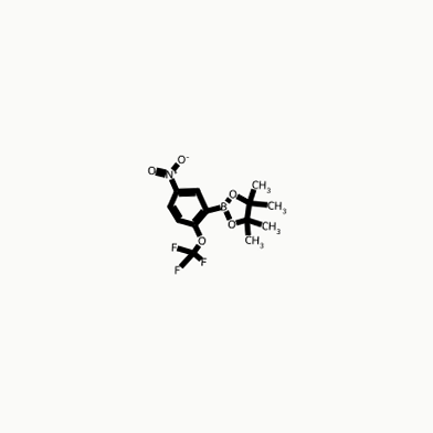 CC1(C)OB(c2cc([N+](=O)[O-])ccc2OC(F)(F)F)OC1(C)C